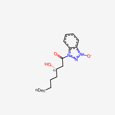 CCCCCCCCCCCCC[C@H](O)CC(=O)n1n[n+]([O-])c2ccccc21